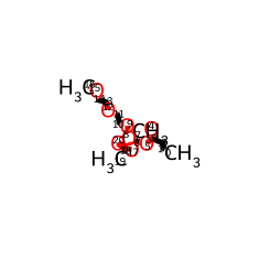 CCCC(=O)OC(C)(OOCCOCCOC)OC(C)=O